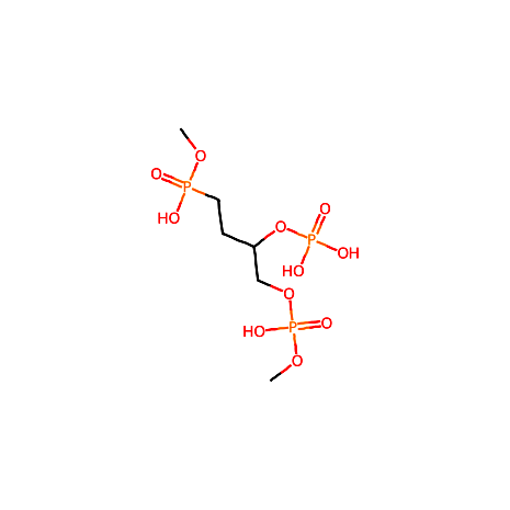 COP(=O)(O)CCC(COP(=O)(O)OC)OP(=O)(O)O